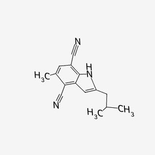 Cc1cc(C#N)c2[nH]c(CC(C)C)cc2c1C#N